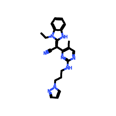 CCN1/C(=C(\C#N)c2nc(NCCCn3cccn3)ncc2C)Nc2ccccc21